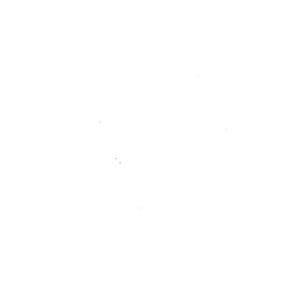 [c]1c(N(c2ccccc2)c2ccccc2)ccc2cc3ccccc3cc12